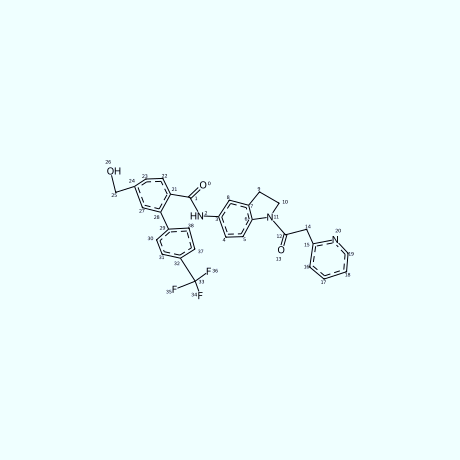 O=C(Nc1ccc2c(c1)CCN2C(=O)Cc1ccccn1)c1ccc(CO)cc1-c1ccc(C(F)(F)F)cc1